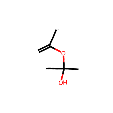 [CH2]C(=C)OC(C)(C)O